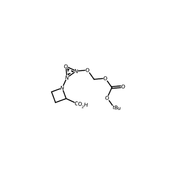 CC(C)(C)OC(=O)OCOn1on1N1CCC1C(=O)O